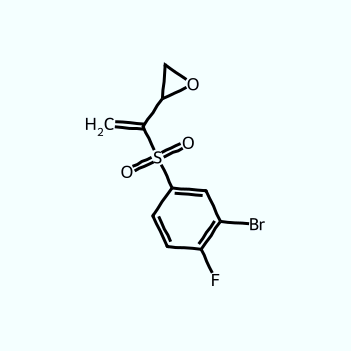 C=C(C1CO1)S(=O)(=O)c1ccc(F)c(Br)c1